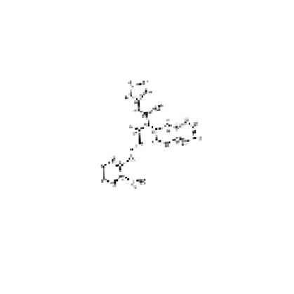 COc1ccccc1OCCN(C)C(C(=O)Cc1ccsc1)C1CCc2ccccc2N1